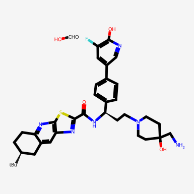 CC(C)(C)[C@H]1CCc2nc3sc(C(=O)N[C@H](CCN4CCC(O)(CN)CC4)c4ccc(-c5cnc(O)c(F)c5)cc4)nc3cc2C1.O=CO